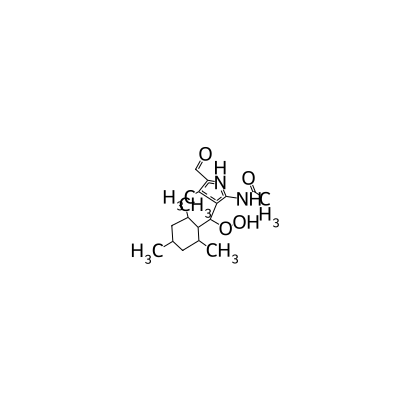 CC(=O)Nc1[nH]c(C=O)c(C)c1C(OO)C1C(C)CC(C)CC1C